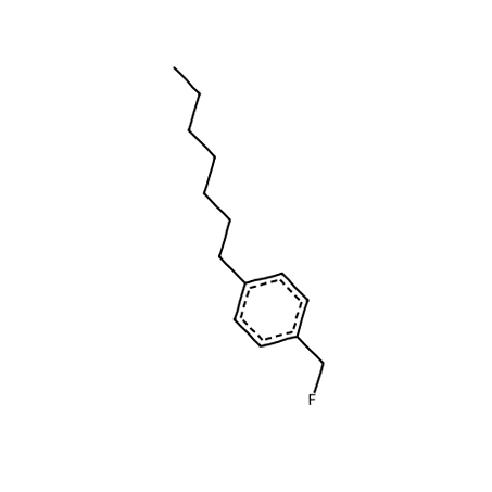 CCCCCCCc1ccc(CF)cc1